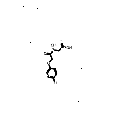 CN(CC(=O)O)C(=O)COc1ccc(Cl)cc1